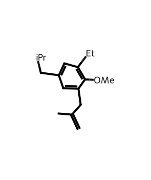 C=C(C)Cc1cc(CC(C)C)cc(CC)c1OC